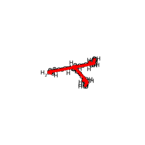 BC1CC(=O)N(CCC(=O)NCCOCCOCCOCCNCCNC(=O)CC(C(=O)NCCOCCOCCOCCNC(OC)C(O)C(O)C(O)C(C)COP(=O)(O)O)C(=O)NCCOCCOCCOCCSC(OC)C(O)C(O)C(O)C(C)COP(=O)(O)O)C1=O